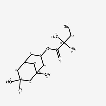 CCC1(O)CC2CC(OC(=O)C(C)(CC(C)(C)C)C(C)(C)C)CC(O)(C2)C1